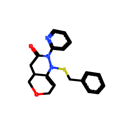 O=C1CC2COCC=C2N(SCc2ccccc2)N1c1ccccn1